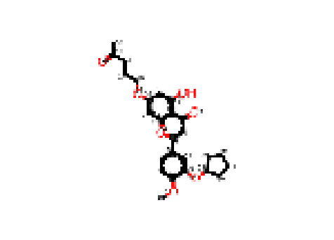 COc1ccc(-c2cc(=O)c3c(O)cc(OCCCC(C)=O)cc3o2)cc1OC1CCCC1